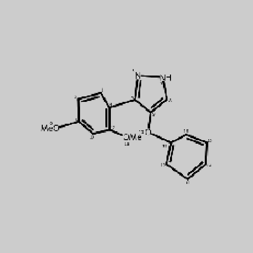 COc1ccc(-c2n[nH]cc2Oc2ccccc2)c(OC)c1